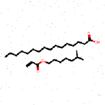 C=CC(=O)OCCCCCC(C)C.CCCCCCCCCCCCCCCC(=O)O